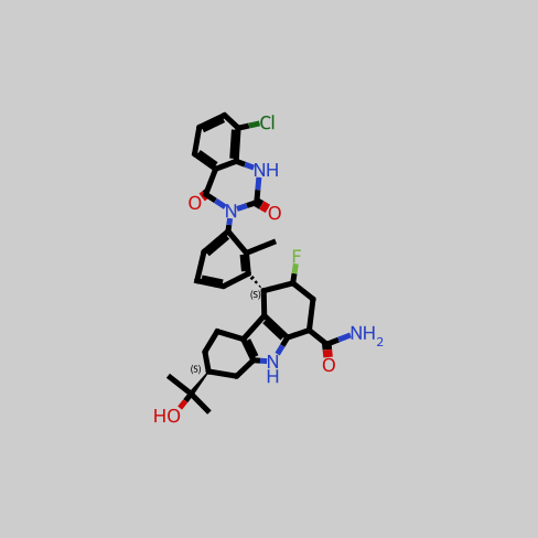 Cc1c([C@H]2c3c([nH]c4c3CC[C@H](C(C)(C)O)C4)C(C(N)=O)CC2F)cccc1-n1c(=O)[nH]c2c(Cl)cccc2c1=O